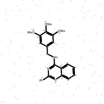 COc1cc(CNc2nc(C(C)C)nc3ccccc23)cc(OC)c1OC